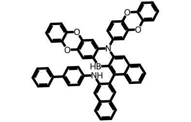 B1c2cc3c(cc2N(c2ccc4c(c2)Oc2ccccc2O4)c2cc4ccccc4c(-c4cc5ccccc5cc4Nc4ccc(-c5ccccc5)cc4)c21)Oc1ccccc1O3